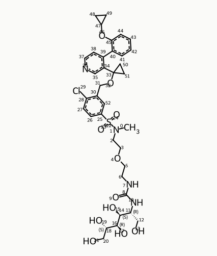 CN(CCOCCNC(=O)N[C@H](CO)[C@H](O)[C@@H](O)[C@@H](O)CO)S(=O)(=O)c1ccc(Cl)c(COC2(c3cnccc3-c3ccccc3OC3CC3)CC2)c1